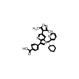 Cc1noc(C)c1-c1cnc2c(-c3ccc(C(=O)O)cc3)cn([C@H](c3ccccn3)C3CCCCC3)c2c1